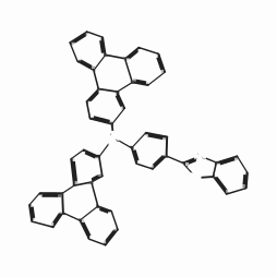 c1ccc2sc(-c3ccc(N(c4ccc5c6ccccc6c6ccccc6c5c4)c4ccc5c6ccccc6c6ccccc6c5c4)cc3)nc2c1